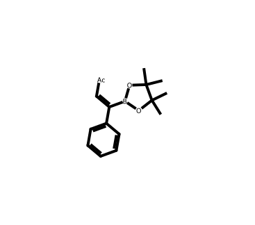 CC(=O)C=C(B1OC(C)(C)C(C)(C)O1)c1ccccc1